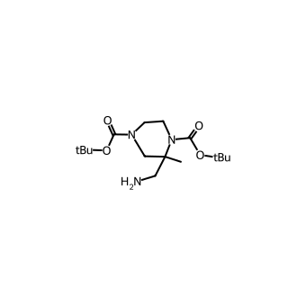 CC(C)(C)OC(=O)N1CCN(C(=O)OC(C)(C)C)C(C)(CN)C1